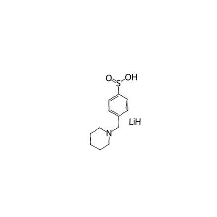 O=S(O)c1ccc(CN2CCCCC2)cc1.[LiH]